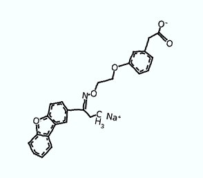 CCC(=NOCCOc1cccc(CC(=O)[O-])c1)c1ccc2oc3ccccc3c2c1.[Na+]